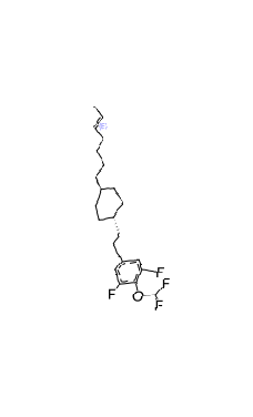 C/C=C/CCCC[C@H]1CC[C@H](CCc2cc(F)c(OC(F)F)c(F)c2)CC1